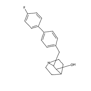 OC1C2CCN(CC2)C1Cc1ccc(-c2ccc(F)cc2)cc1